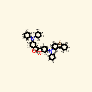 c1ccc(N(c2ccc3c(c2)oc2oc4ccc(N(c5ccccc5)c5ccccc5)cc4c23)c2ccc3sc4ccccc4c3c2)cc1